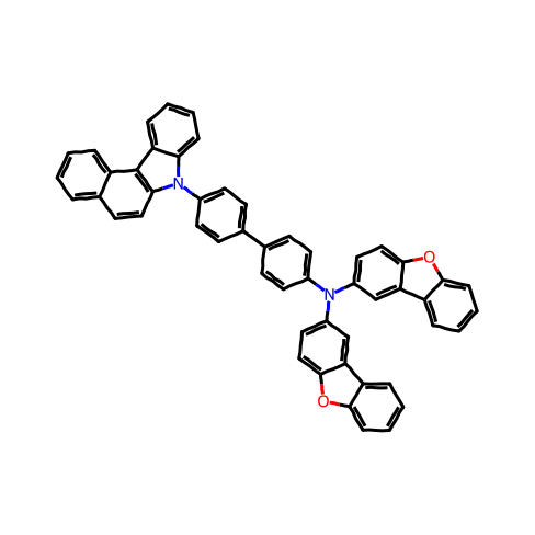 c1ccc2c(c1)ccc1c2c2ccccc2n1-c1ccc(-c2ccc(N(c3ccc4oc5ccccc5c4c3)c3ccc4oc5ccccc5c4c3)cc2)cc1